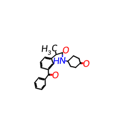 CC(C(=O)NC1CCC(=O)CC1)c1cccc(C(=O)c2ccccc2)c1